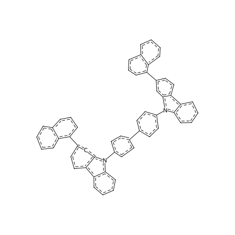 c1ccc2c(-c3ccc4c5ccccc5n(-c5ccc(-c6ccc(-n7c8ccccc8c8ccc(-c9cccc%10ccccc9%10)cc87)cc6)cc5)c4c3)cccc2c1